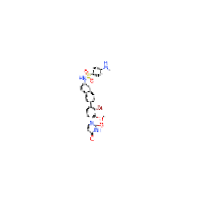 CNc1ccc(S(=O)(=O)Nc2ccc3cc(-c4ccc(-n5ccc(=O)[nH]c5=O)c(OC)c4Br)ccc3c2)cc1